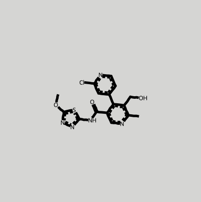 COc1nnc(NC(=O)c2cnc(C)c(CO)c2-c2ccnc(Cl)c2)s1